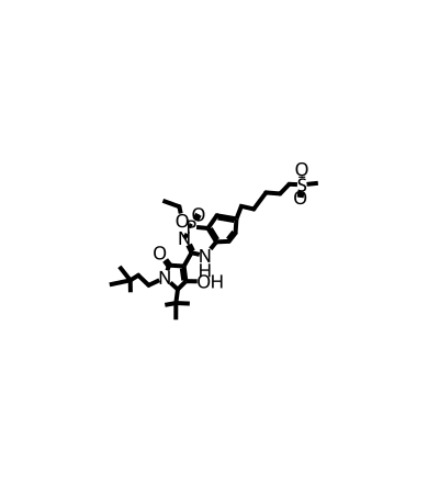 CCOP1(=O)N=C(C2=C(O)C(C(C)(C)C)N(CCC(C)(C)C)C2=O)Nc2ccc(CCCCCS(C)(=O)=O)cc21